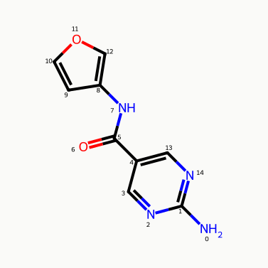 Nc1ncc(C(=O)Nc2ccoc2)cn1